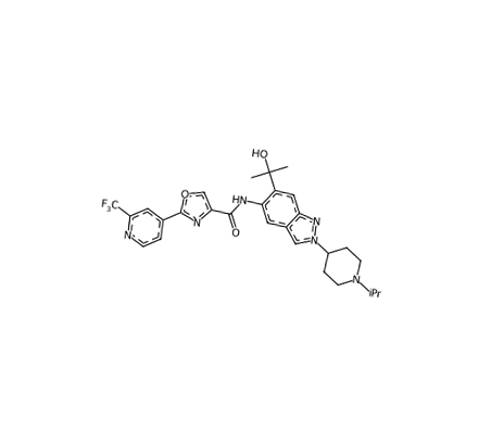 CC(C)N1CCC(n2cc3cc(NC(=O)c4coc(-c5ccnc(C(F)(F)F)c5)n4)c(C(C)(C)O)cc3n2)CC1